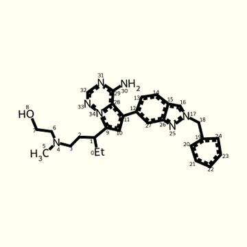 CCC(CCN(C)CCO)c1cc(-c2ccc3cn(Cc4ccccc4)nc3c2)c2c(N)ncnn12